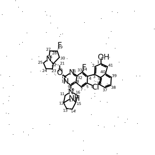 Oc1cc(-c2c(Cl)cc3c(N4CC5CCC(C4)N5)nc(OC[C@]45CCCN4C[C@H](F)C5)nc3c2F)c2ccccc2c1